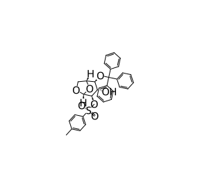 Cc1ccc(S(=O)(=O)O[C@H]2[C@@H]3OC[C@@H](O3)[C@@H](OC(c3ccccc3)(c3ccccc3)c3ccccc3)[C@@H]2O)cc1